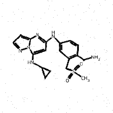 CS(=O)(=O)Cc1cc(Nc2cc(NC3CC3)n3nccc3n2)ccc1CN